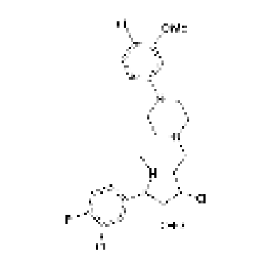 COc1cc(N2CCN(CC3C(Cl)C(C=O)N(c4ccc(F)c(Cl)c4)N3C)CC2)ccc1Cl